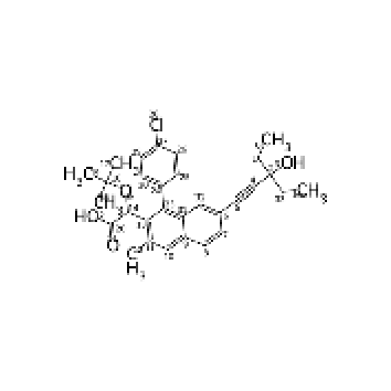 CCC(O)(C#Cc1ccc2cc(C)c(C(OC(C)(C)C)C(=O)O)c(-c3ccc(Cl)cc3)c2c1)CC